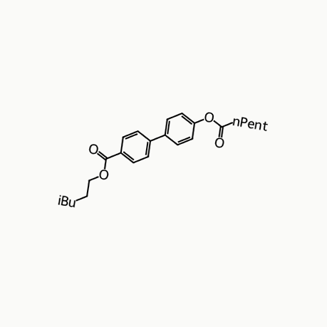 CCCCCC(=O)Oc1ccc(-c2ccc(C(=O)OCCC(C)CC)cc2)cc1